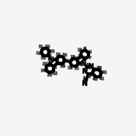 N#Cc1nc(-n2c3ccccc3c3cc(-c4ccc5c(c4)c4ccccc4n5-c4ccccc4)ccc32)nc2ccccc12